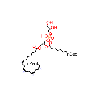 CCCCC/C=C\C/C=C\C/C=C\C/C=C\CCCCCC(=O)OC[C@H](COP(=O)(O)OC[C@@H](O)CO)OC(=O)CCCCCCCCCCCCCCCC